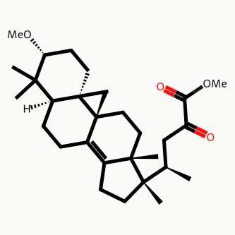 COC(=O)C(=O)C[C@@H](C)[C@]1(C)CCC2=C3CC[C@H]4C(C)(C)[C@H](OC)CC[C@@]45C[C@@]35CC[C@@]21C